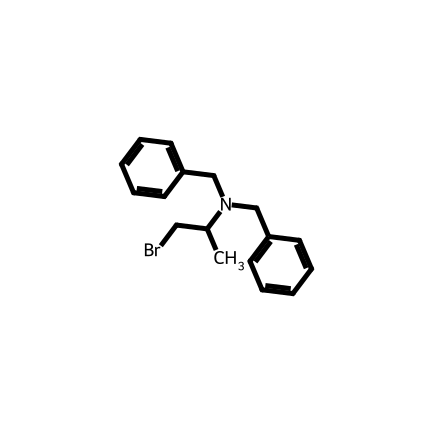 CC(CBr)N(Cc1ccccc1)Cc1ccccc1